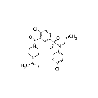 C=CCN(c1ccc(Cl)cc1)S(=O)(=O)c1ccc(Cl)c(C(=O)N2CCN(C(C)=O)CC2)c1